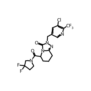 O=C(C1CCCc2nn(Cc3cnc(C(F)(F)F)c(Cl)c3)c(=O)n21)N1CCC(F)(F)C1